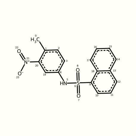 Cc1ccc(NS(=O)(=O)c2cccc3ccccc23)cc1[N+](=O)[O-]